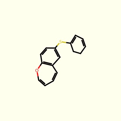 C1=CCCC(Sc2ccc3c(c2)C=CC=CO3)=C1